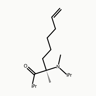 C=CCCCC[C@](C)(C(=O)C(C)C)N(C)C(C)C